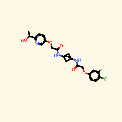 CC(O)c1ccc(OCC(=O)NC23CC(NC(=O)COc4ccc(Cl)c(F)c4)(C2)C3)cn1